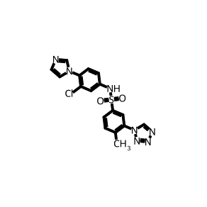 Cc1ccc(S(=O)(=O)Nc2ccc(-n3ccnc3)c(Cl)c2)cc1-n1cnnn1